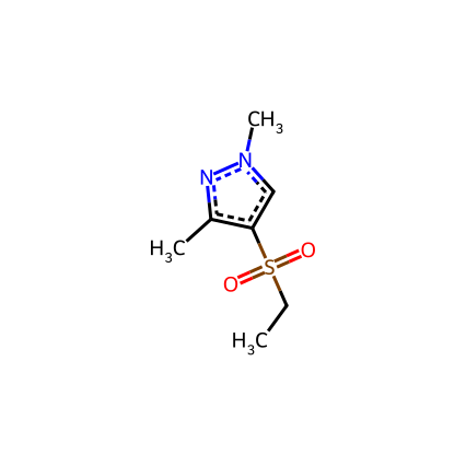 CCS(=O)(=O)c1cn(C)nc1C